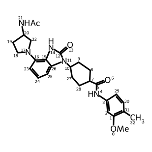 COc1cc(NC(=O)C2CCC(n3c(=O)[nH]c4c(N5CCC(NC(C)=O)C5)cccc43)CC2)ccc1C